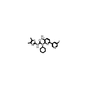 Cc1nc(NC(=O)N(c2nc(-c3cncc(F)c3)ccc2N)C2CCCCC2)sc1C